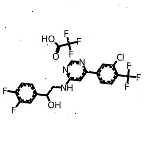 O=C(O)C(F)(F)F.OC(CNc1cc(-c2ccc(C(F)(F)F)c(Cl)c2)ncn1)c1ccc(F)c(F)c1